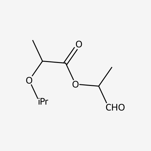 CC(C)OC(C)C(=O)OC(C)C=O